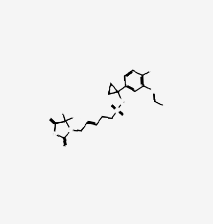 CC(C)(C)COc1cc(C2(NS(=O)(=O)CC/C=C/CN3C(=O)NC(=O)C3(C)C)CC2)ccc1F